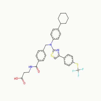 O=C(O)CCNC(=O)c1ccc(CN(c2ccc(C3CCCCC3)cc2)c2nc(-c3ccc(SC(F)(F)F)cc3)cs2)cc1